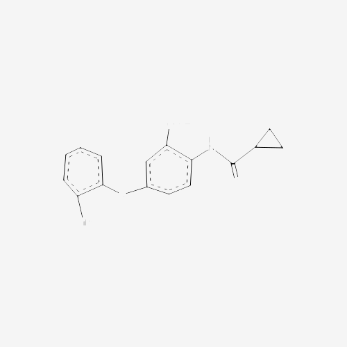 CC(C)c1ccccc1Sc1ccc(NC(=O)C2CC2)c(C(=O)O)c1